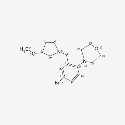 COC1CCN(Cc2cc(Br)ccc2N2CCOCC2)C1